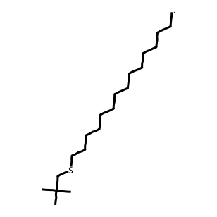 [CH2]CCCCCCCCCCCCCCSCC(C)(C)C